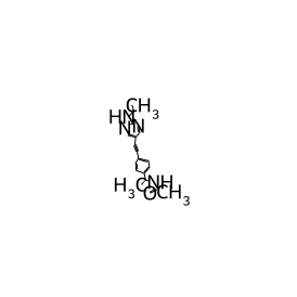 CCNc1ncc(C#Cc2ccc([C@H](C)NC(C)=O)cc2)cn1